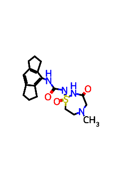 CN1CCS(=O)(=NC(=O)Nc2c3c(cc4c2CCC4)CCC3)NC(=O)C1